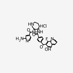 Cl.Nc1cc(C(=O)N[C@@H]2CNCCC[C@H]2NC(=O)c2ccc(C(=O)c3c(O)cc4cccnc4c3F)cc2)ccn1